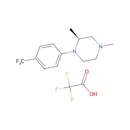 C[C@H]1CN(C)CCN1c1ccc(C(F)(F)F)cc1.O=C(O)C(F)(F)F